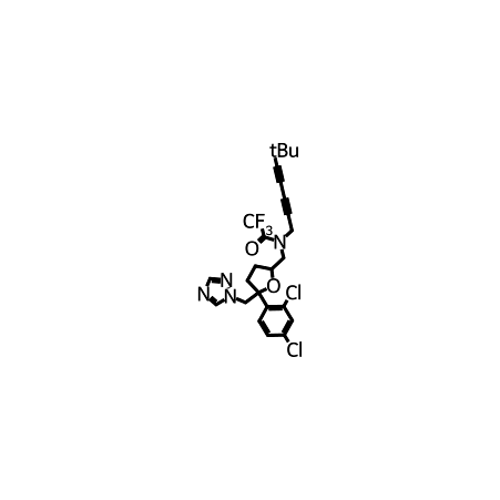 CC(C)(C)C#CC#CCN(CC1CCC(Cn2cncn2)(c2ccc(Cl)cc2Cl)O1)C(=O)C(F)(F)F